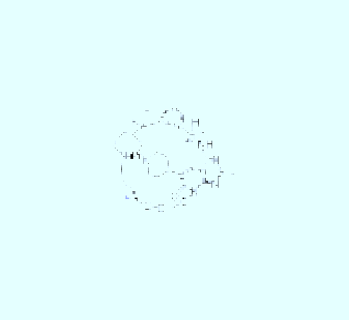 Cc1nc2c3cc(C4CCN(C(C)C)CC4)c(=O)n(c3n1)CCCC/C=C/CN1CCC(CC1)C(F)(F)c1cccc(c1)[C@@H](C)N2